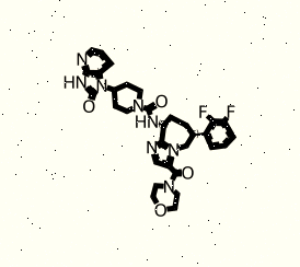 O=C(N[C@@H]1CC[C@@H](c2cccc(F)c2F)Cn2c(C(=O)N3CCOCC3)cnc21)N1CCC(n2c(=O)[nH]c3ncccc32)CC1